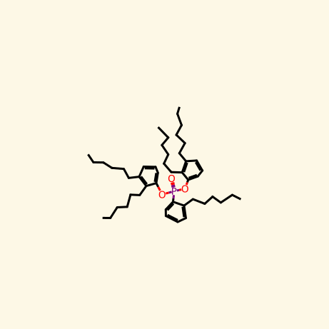 CCCCCCc1ccccc1P(=O)(Oc1cccc(CCCCCC)c1CCCCCC)Oc1cccc(CCCCCC)c1CCCCCC